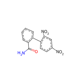 NC(=O)c1ccccc1-c1ccc([N+](=O)[O-])cc1[N+](=O)[O-]